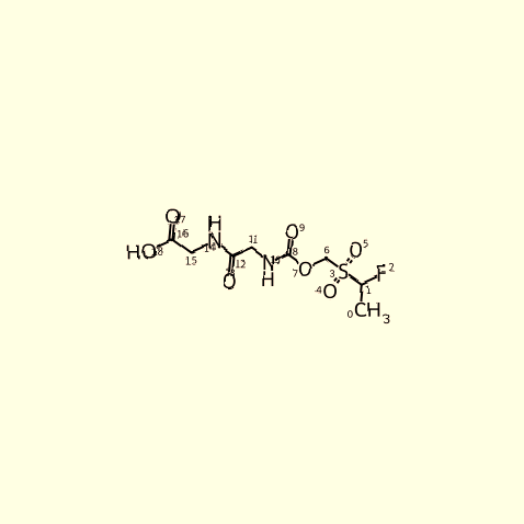 CC(F)S(=O)(=O)COC(=O)NCC(=O)NCC(=O)O